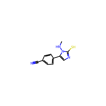 CNn1c(-c2ccc(C#N)cc2)cnc1S